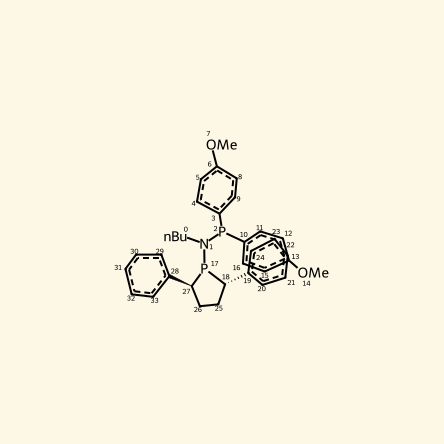 CCCCN(P(c1ccc(OC)cc1)c1ccc(OC)cc1)P1[C@H](c2ccccc2)CC[C@H]1c1ccccc1